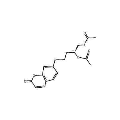 CC(=O)OC[C@H](CCOc1ccc2ccc(=O)oc2c1)OC(C)=O